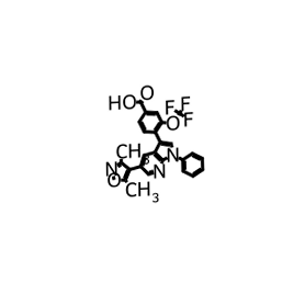 Cc1noc(C)c1-c1cnc2c(c1)c(-c1ccc(C(=O)O)cc1OC(F)(F)F)cn2-c1ccccc1